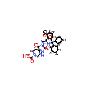 COC(=O)[C@H](CN1C(=O)NC2(CCN(C(=O)O)CC2)C1=O)NC(c1ccccc1)(c1ccccc1)c1ccccc1